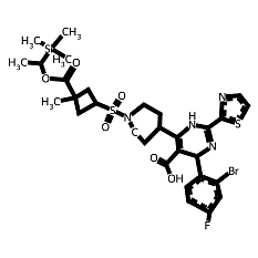 CC(OC(=O)C1(C)CC(S(=O)(=O)N2CCC(C3=C(C(=O)O)C(c4ccc(F)cc4Br)N=C(c4nccs4)N3)CC2)C1)[Si](C)(C)C